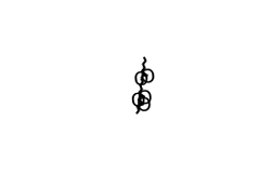 CCCCCC(=O)OCCCCC(=O)OC(=O)CCC